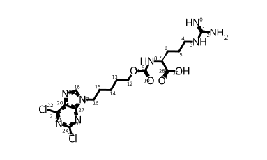 N=C(N)NCCC[C@H](NC(=O)OCCCCCn1cnc2c(Cl)nc(Cl)nc21)C(=O)O